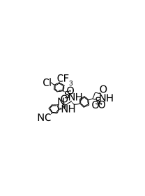 N#Cc1ccc2nc([C@H](Cc3ccc(C4CC(=O)NS4(=O)=O)cc3)NS(=O)(=O)c3ccc(Cl)c(C(F)(F)F)c3)[nH]c2c1